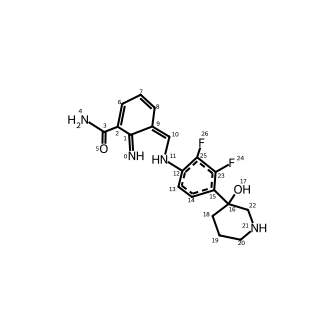 N=C1C(C(N)=O)=CC=C/C1=C/Nc1ccc(C2(O)CCCNC2)c(F)c1F